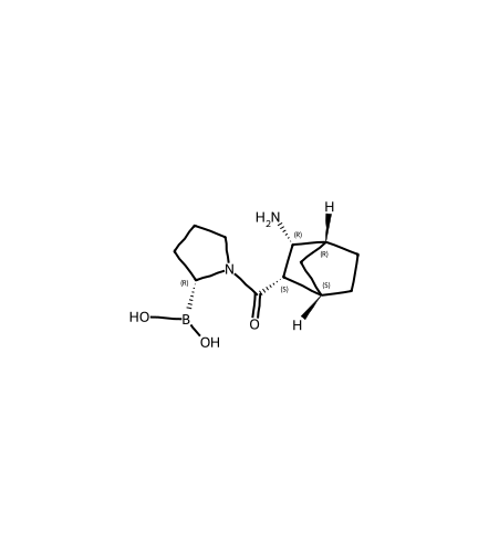 N[C@@H]1[C@@H]2CC[C@@H](C2)[C@@H]1C(=O)N1CCC[C@H]1B(O)O